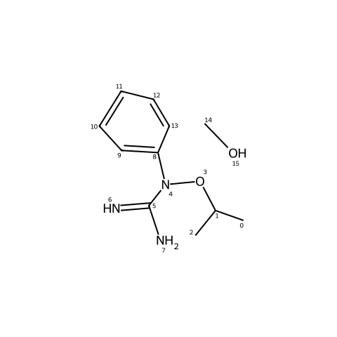 CC(C)ON(C(=N)N)c1ccccc1.CO